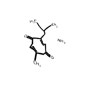 CC1=CC(=O)C(C(C)C)=CC1=O.N